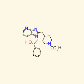 O=C(O)N1CCC(Cc2nc3ncccc3n2CC(O)c2ccccc2)CC1